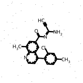 C#C/C(N)=N\C(=O)c1cc(C)c2nccc(-c3ccc(C)cc3Cl)c2c1